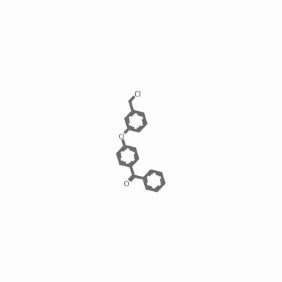 O=C(c1ccccc1)c1ccc(Oc2cccc(CCl)c2)cc1